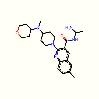 Cc1ccc2nc(N3CCC(N(C)C4CCOCC4)CC3)c(C(=O)NC(C)N)cc2c1